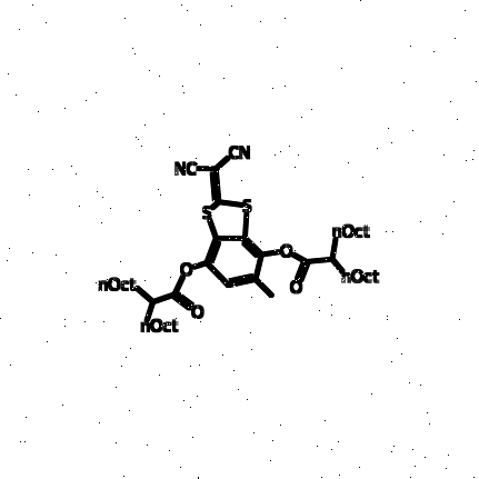 CCCCCCCCC(CCCCCCCC)C(=O)Oc1cc(C)c(OC(=O)C(CCCCCCCC)CCCCCCCC)c2c1SC(=C(C#N)C#N)S2